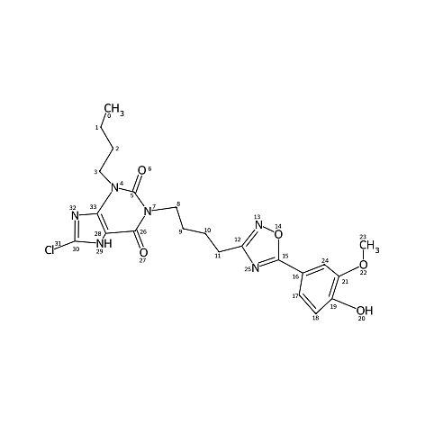 CCCCn1c(=O)n(CCCCc2noc(-c3ccc(O)c(OC)c3)n2)c(=O)c2[nH]c(Cl)nc21